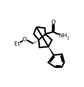 CCOC[C@]12CC3CC1(C(N)=O)C[C@]3(c1ccccc1)C2